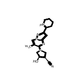 Cc1cn2nc(C3CCCCN3)cc2nc1N1C[C@@H](C#N)[C@@H](O)C1